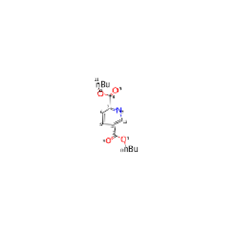 CCCCOC(=O)c1ccc(C(=O)OCCCC)nc1